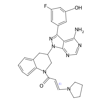 Nc1ncnc2c1c(-c1cc(O)cc(F)c1)nn2C1Cc2ccccc2N(C(=O)/C=C/N2CCCC2)C1